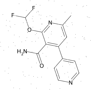 Cc1cc(-c2ccncc2)c(C(N)=O)c(OC(F)F)n1